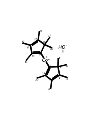 CC1=C(C)C(C)(C)[C]([Co+][C]2=C(C)C(C)=C(C)C2(C)C)=C1C.[OH-]